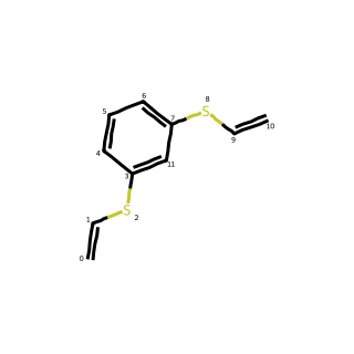 C=CSc1cccc(SC=C)c1